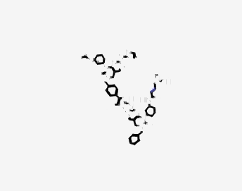 C=CC(=O)NC1CCCC(N2C(=O)N(Cc3ccc(-c4sc(Nc5ncc6c(n5)N(C5CCCC(NC(=O)/C=C/CN(C)C)C5)C(=O)N(Cc5ccccc5)C6)nc4C)cc3)Cc3cnc(Nc4ncc(C)s4)nc32)C1